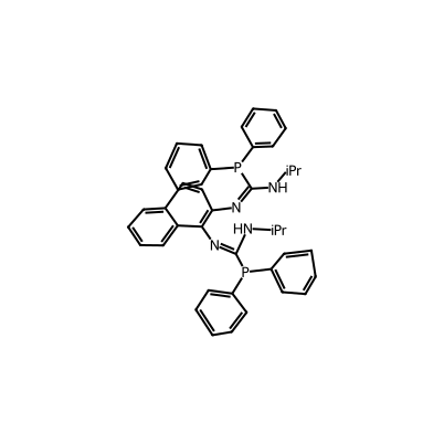 CC(C)N/C(=N/c1ccc2ccccc2c1/N=C(\NC(C)C)P(c1ccccc1)c1ccccc1)P(c1ccccc1)c1ccccc1